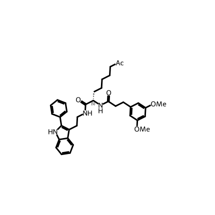 COc1cc(CCC(=O)N[C@@H](CCCCCC(C)=O)C(=O)NCCc2c(-c3ccccc3)[nH]c3ccccc23)cc(OC)c1